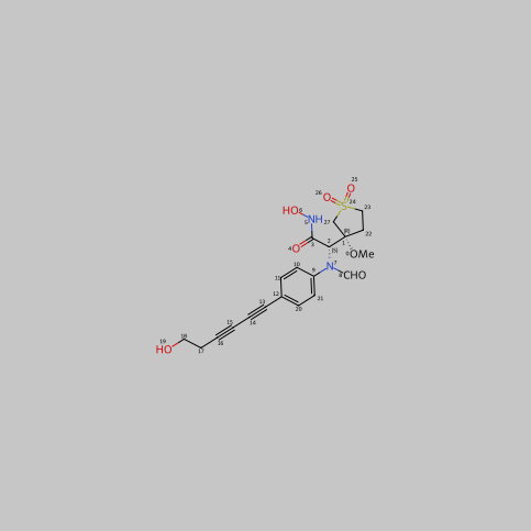 CO[C@@]1([C@@H](C(=O)NO)N(C=O)c2ccc(C#CC#CCCO)cc2)CCS(=O)(=O)C1